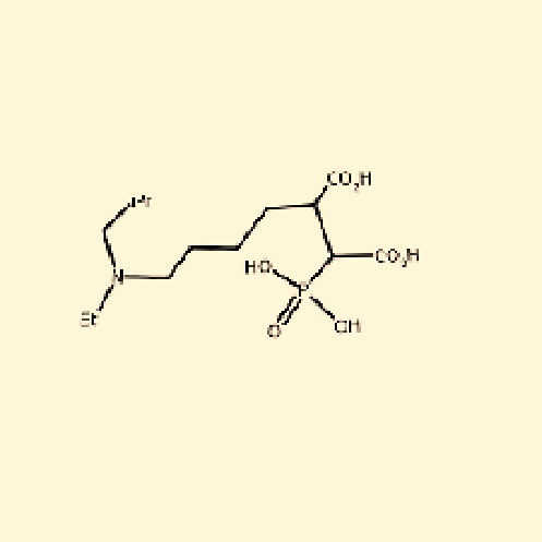 CCN(CCCCC(C(=O)O)C(C(=O)O)P(=O)(O)O)CC(C)C